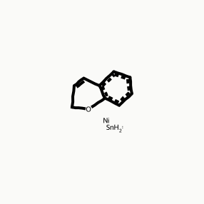 C1=Cc2ccccc2OC1.[Ni].[SnH2]